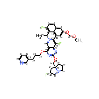 CCc1c(F)ccc2cc(OCOC)cc(-c3ncc4c(OCCCc5cccnc5)nc(OC[C@@]56CCCN5C[C@H](F)C6)nc4c3F)c12